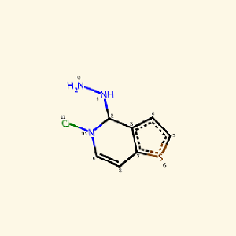 NNC1c2ccsc2C=CN1Cl